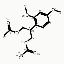 COc1ccc([C@H](COC(C)=O)COC(N)=O)c(OC)c1